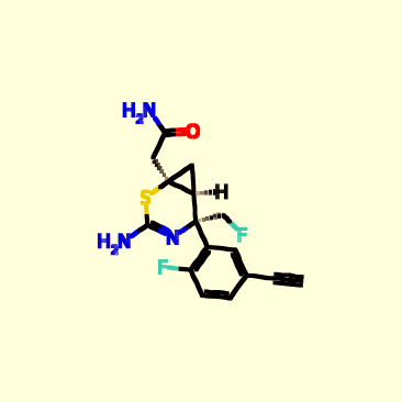 C#Cc1ccc(F)c([C@@]2(CF)N=C(N)S[C@@]3(CC(N)=O)C[C@H]32)c1